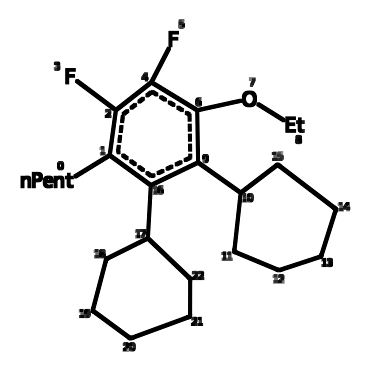 CCCCCc1c(F)c(F)c(OCC)c(C2CCCCC2)c1C1CCCCC1